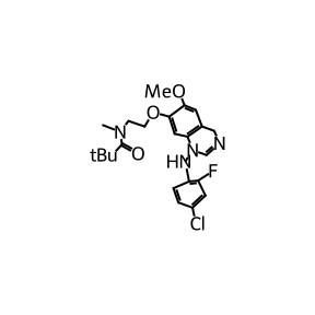 COc1cc2c(cc1OCCN(C)C(=O)C(C)(C)C)N(Nc1ccc(Cl)cc1F)C=NC2